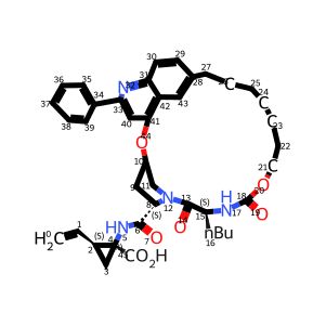 C=C[C@@H]1C[C@]1(NC(=O)[C@@H]1CC2CN1C(=O)[C@H](CCCC)NC(=O)OCCCCCCCc1ccc3nc(-c4ccccc4)cc(c3c1)O2)C(=O)O